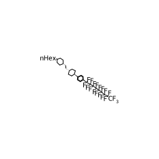 CCCCCC[C@H]1CC[C@H](CC[C@H]2CC[C@H](c3ccc(C(F)(F)C(F)(F)C(F)(F)C(F)(F)C(F)(F)C(F)(F)C(F)(F)C(F)(F)C(F)(F)F)cc3)CC2)CC1